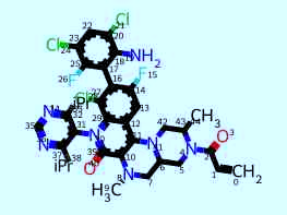 C=CC(=O)N1CC2CN(C)c3c(c4cc(F)c(-c5c(N)c(Cl)cc(Cl)c5F)c(Cl)c4n(-c4c(C(C)C)ncnc4C(C)C)c3=O)N2CC1C